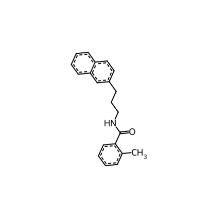 Cc1ccccc1C(=O)NCCCc1ccc2ccccc2c1